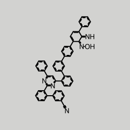 N#Cc1cccc(-c2ccccc2-c2nc(-c3ccccc3)cc(-c3ccccc3-c3cccc(-c4ccc(C5=CC=C(c6ccccc6)C(=N)/C5=N\O)cc4)c3)n2)c1